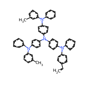 C=Cc1ccc(N(c2ccccc2)c2ccc(N(c3ccc(N(c4ccccc4)c4cccc(C)c4)cc3)c3ccc(N(c4ccccc4)c4cccc(C)c4)cc3)cc2)cc1